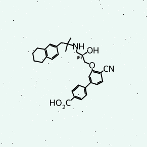 CC(C)(Cc1ccc2c(c1)CCCC2)NC[C@@H](O)COc1cc(-c2ccc(C(=O)O)cc2)ccc1C#N